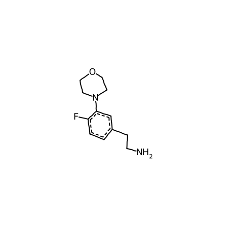 NCCc1ccc(F)c(N2CCOCC2)c1